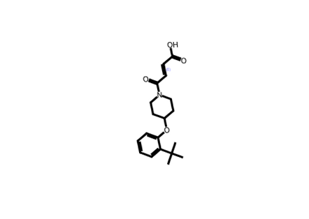 CC(C)(C)c1ccccc1OC1CCN(C(=O)/C=C/C(=O)O)CC1